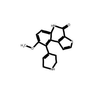 COc1ccc2[nH]c(=O)c3sccc3c2c1C1=CCNCC1